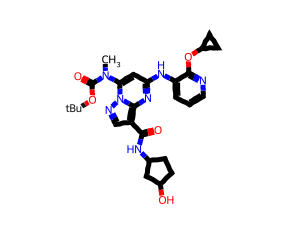 CN(C(=O)OC(C)(C)C)c1cc(Nc2cccnc2OC2CC2)nc2c(C(=O)NC3CCC(O)C3)cnn12